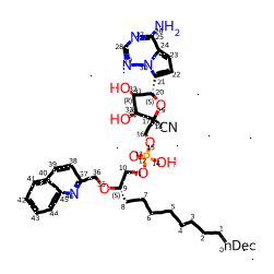 CCCCCCCCCCCCCCCCCC[C@@H](COP(=O)(O)OC[C@@]1(C#N)O[C@@H](c2ccc3c(N)ncnn23)[C@H](O)[C@@H]1O)OCc1ccc2ccccc2n1